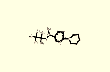 CC(C)(O)C(C)(C)OB(O)c1ccc(N2CCCCC2)nc1